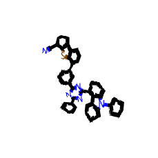 N#Cc1cccc2c1sc1c(-c3cccc(-c4nc(-c5ccccc5)nc(-c5cccc6c5c5ccccc5n6-c5ccccc5)n4)c3)cccc12